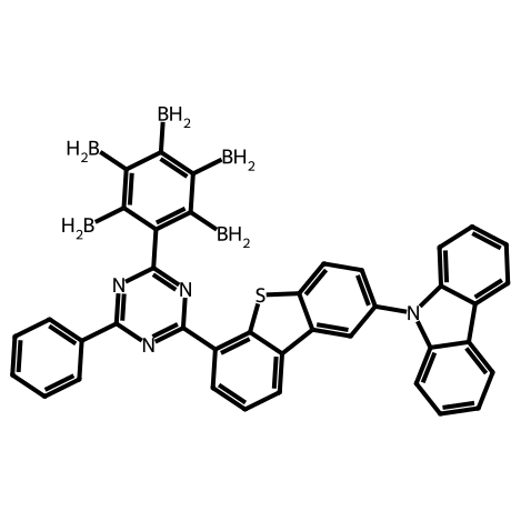 Bc1c(B)c(B)c(-c2nc(-c3ccccc3)nc(-c3cccc4c3sc3ccc(-n5c6ccccc6c6ccccc65)cc34)n2)c(B)c1B